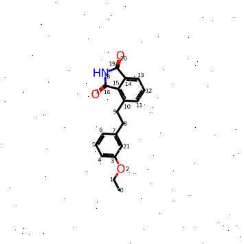 CCOc1cccc(CCc2cccc3c2C(=O)NC3=O)c1